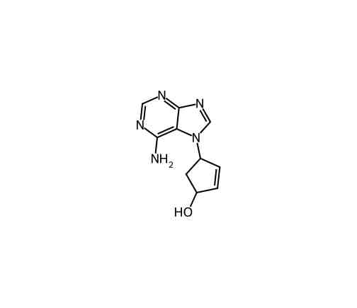 Nc1ncnc2ncn(C3C=CC(O)C3)c12